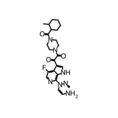 C=NN(/C=C\N)c1ncc(F)c2c(C(=O)C(=O)N3CCN(C(=O)C4CCCCC4C)CC3)c[nH]c12